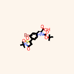 CC(C)(C)OC(=O)N[C@@H](Cc1ccc(C2=CC(=O)N(C(C)(C)C)S2(=O)=O)c(Br)c1)C(=O)O